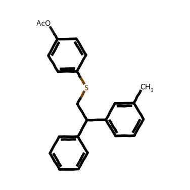 CC(=O)Oc1ccc(SCC(c2ccccc2)c2cccc(C)c2)cc1